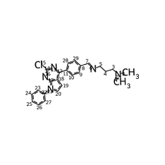 CN(C)CCCN=Cc1ccc(-c2nc(Cl)nc3c2ccn3-c2ccccc2)cc1